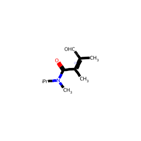 C/C(C=O)=C(\C)C(=O)N(C)C(C)C